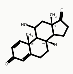 C[C@]12C=CC(=O)C=C1CC[C@@H]1C2C(O)C[C@]2(C)C(=O)CCC12